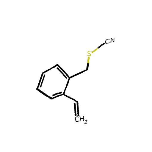 C=Cc1ccccc1CSC#N